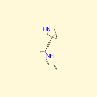 C=C/C=C\N[C@@H](C)C#CC12CNCC1C2